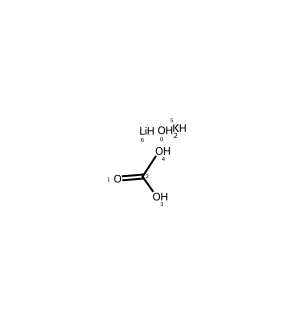 O.O=C(O)O.[KH].[LiH]